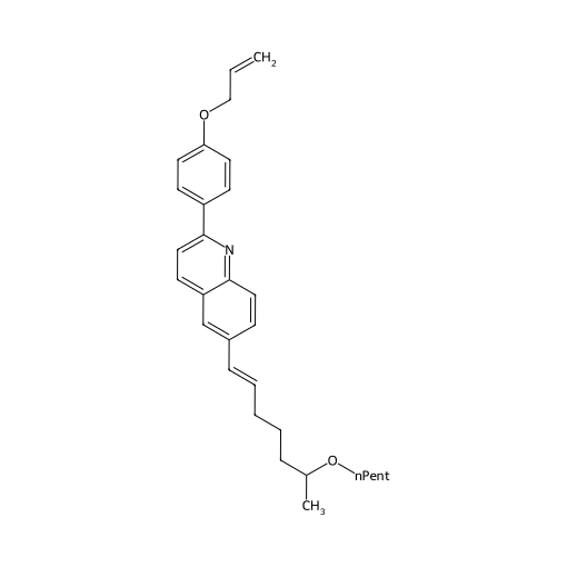 C=CCOc1ccc(-c2ccc3cc(/C=C/CCCC(C)OCCCCC)ccc3n2)cc1